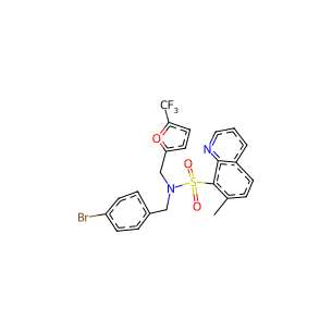 Cc1ccc2cccnc2c1S(=O)(=O)N(Cc1ccc(Br)cc1)Cc1ccc(C(F)(F)F)o1